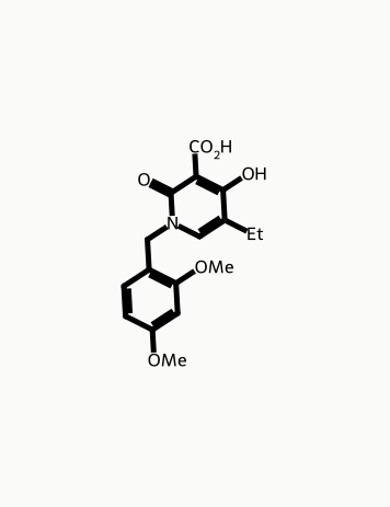 CCc1cn(Cc2ccc(OC)cc2OC)c(=O)c(C(=O)O)c1O